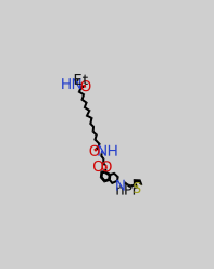 CCCN(CCc1cccs1)[C@H]1CCc2c(cccc2OC(=O)CCNC(=O)CCCCCCCCCCCCCCC(=O)NCC)C1